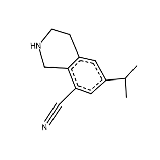 CC(C)c1cc(C#N)c2c(c1)CCNC2